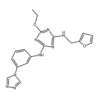 CCOc1nc(NCc2ccco2)nc(Nc2cccc(-n3cnnc3)c2)n1